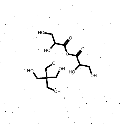 O=C(OC(=O)C(O)CO)C(O)CO.OCC(CO)(CO)CO